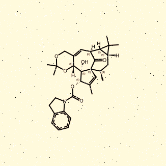 CC1=C[C@]23C(=O)[C@@H](C=C4COC(C)(C)O[C@H]4[C@]2(O)[C@H]1OC(=O)N1CCc2ccccc21)[C@H]1[C@@H](C[C@H]3C)C1(C)C